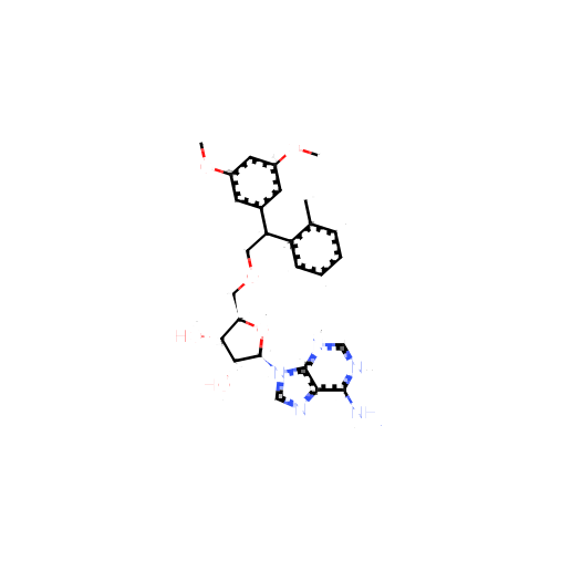 COc1cc(OC)cc(C(COC[C@H]2O[C@@H](n3cnc4c(N)ncnc43)[C@H](O)[C@@H]2O)c2ccccc2C)c1